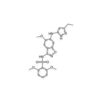 CCc1cc(Nc2cc3onc(NS(=O)(=O)c4c(OC)cccc4OC)c3cc2OC)[nH]n1